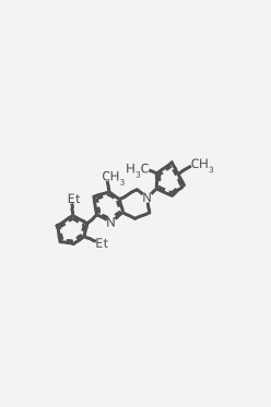 CCc1cccc(CC)c1-c1cc(C)c2c(n1)CCN(c1ccc(C)cc1C)C2